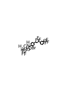 C[C@@H](NC(=O)c1ccc(/C=C/C(c2cccc(OC(F)(F)F)c2)C(F)(F)F)cc1Br)C(=O)NCC(F)(F)F